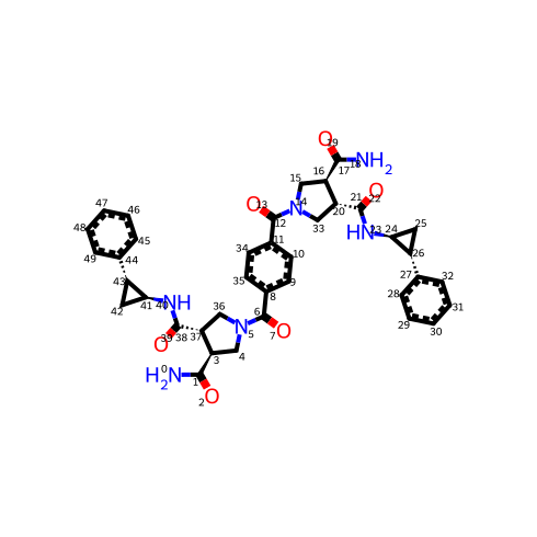 NC(=O)[C@@H]1CN(C(=O)c2ccc(C(=O)N3C[C@@H](C(N)=O)[C@H](C(=O)N[C@H]4C[C@@H]4c4ccccc4)C3)cc2)C[C@H]1C(=O)N[C@H]1C[C@@H]1c1ccccc1